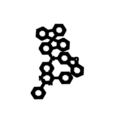 c1ccc(-c2nc(-c3ccccc3)c3cc(N(c4ccc5oc6ccccc6c5c4)c4cccc5c4-c4ccccc4C54c5ccccc5-c5ccccc54)ccc3n2)cc1